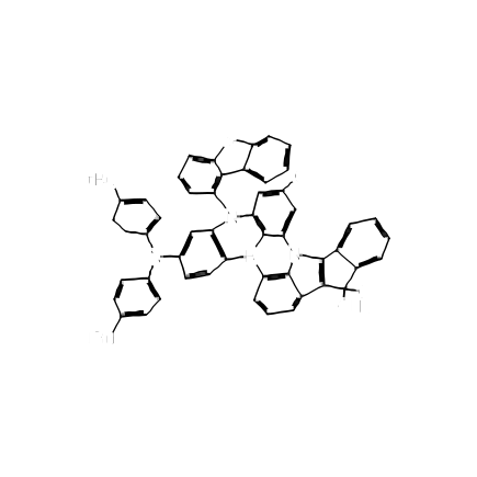 Cc1cc2c3c(c1)-n1c4c(c5cccc(c51)B3c1ccc(N(C3=CC=C(C(C)(C)C)CC3)c3ccc(C(C)(C)C)cc3)cc1N2c1cccc2sc3ccccc3c12)C(C)(C)c1ccccc1-4